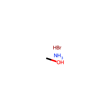 Br.CO.N